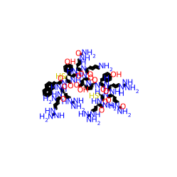 N=C(N)NCCC[C@H](NC(=O)[C@H](CS)NC(=O)[C@H](CCCNC(N)=O)NC(=O)[C@H](CCCNC(=N)N)NC(=O)[C@H](Cc1ccc(O)cc1)NC(=O)[C@@H]1CCCN1C(=O)[C@@H](CCC(=O)O)NC(=O)[C@H](CCCCN)NC(=O)[C@H](CCCNC(N)=O)NC(=O)[C@H](Cc1ccc(O)cc1)NC(=O)[C@H](CS)NC(=O)[C@H](Cc1ccc2ccccc2c1)NC(=O)[C@H](CCCNC(=N)N)NC(=O)[C@@H](N)CCCNC(=N)N)C(N)=O